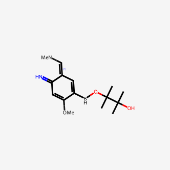 CN/C=C1/C=C(BOC(C)(C)C(C)(C)O)C(OC)=CC1=N